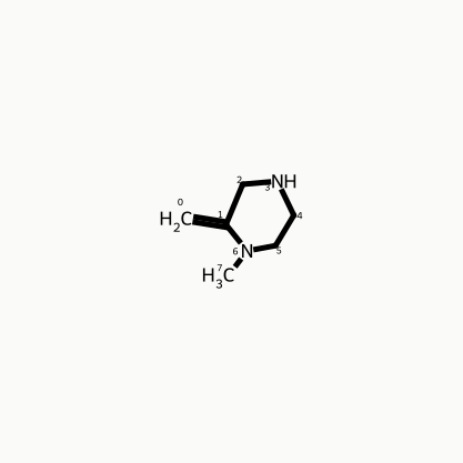 C=C1CNCCN1C